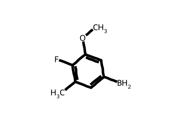 Bc1cc(C)c(F)c(OC)c1